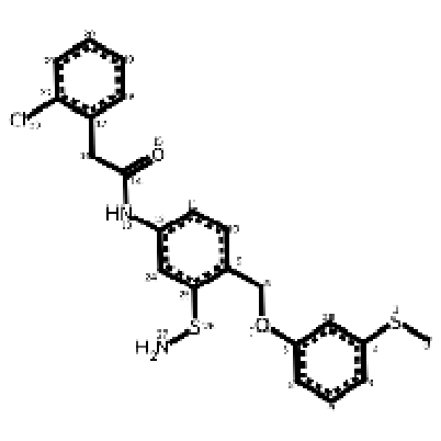 CSc1cccc(OCc2ccc(NC(=O)Cc3ccccc3Cl)cc2SN)c1